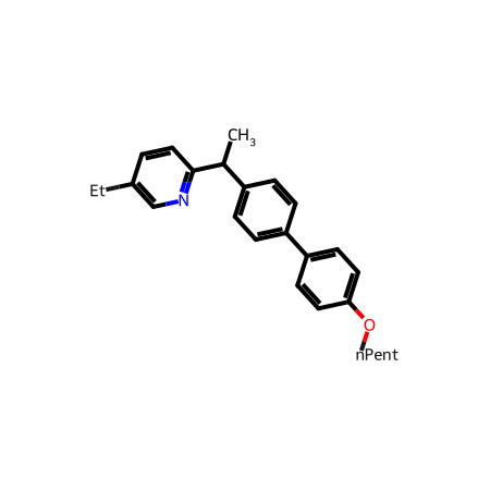 CCCCCOc1ccc(-c2ccc(C(C)c3ccc(CC)cn3)cc2)cc1